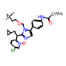 COC(=O)Nc1ccc(-c2cnc(C(CC3CC3)c3ccc(Br)c[n+]3[O-])n2COCC[Si](C)(C)C)cc1